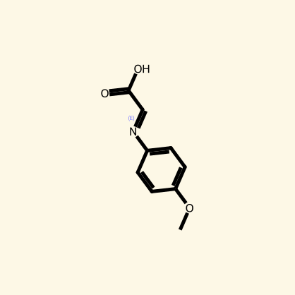 COc1ccc(/N=C/C(=O)O)cc1